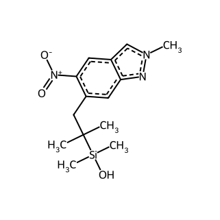 Cn1cc2cc([N+](=O)[O-])c(CC(C)(C)[Si](C)(C)O)cc2n1